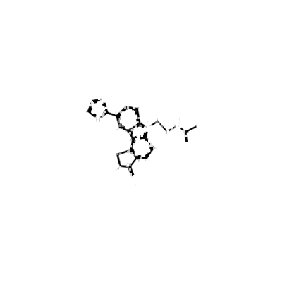 CC(C)NCCn1c2ccc(-c3ncco3)cc2c2c3c(ccc21)C(=O)CC3